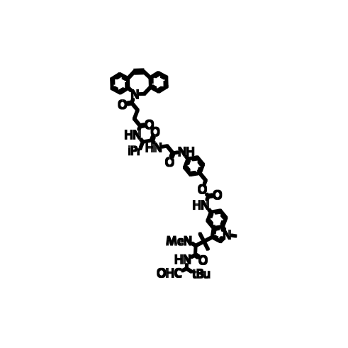 CNC(C(=O)NC(C=O)C(C)(C)C)C(C)(C)c1cn(C)c2ccc(NC(=O)OCc3ccc(NC(=O)CNC(=O)C(NC(=O)CCC(=O)N4Cc5ccccc5C#Cc5ccccc54)C(C)C)cc3)cc12